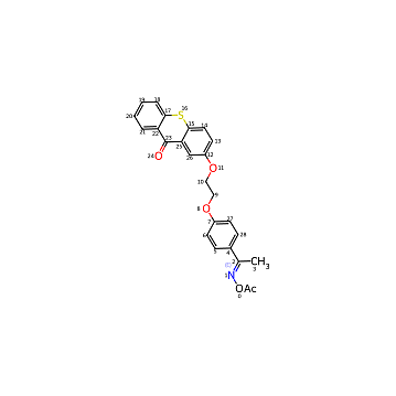 CC(=O)O/N=C(\C)c1ccc(OCCOc2ccc3sc4ccccc4c(=O)c3c2)cc1